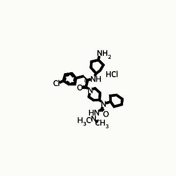 CN(C)NC(=O)N(C1CCCCC1)C1CCN(C(=O)[C@@H](Cc2ccc(Cl)cc2)NC2CCC(N)CC2)CC1.Cl